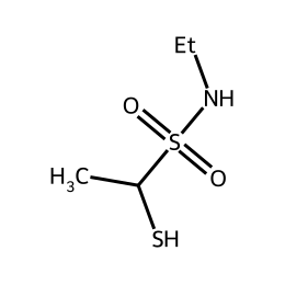 CCNS(=O)(=O)C(C)S